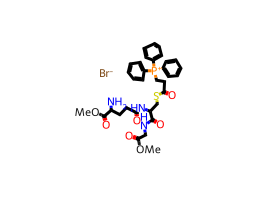 COC(=O)CNC(=O)C(CSC(=O)CC[P+](c1ccccc1)(c1ccccc1)c1ccccc1)NC(=O)CCC(N)C(=O)OC.[Br-]